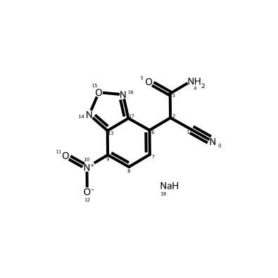 N#CC(C(N)=O)c1ccc([N+](=O)[O-])c2nonc12.[NaH]